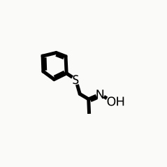 CC(CSc1ccccc1)=NO